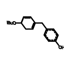 CC(C)COC1C=CC(Cc2ccc(O)cc2)=CC1